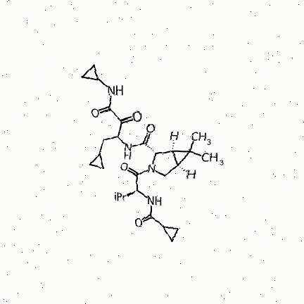 CC(C)[C@H](NC(=O)C1CC1)C(=O)N1C[C@H]2[C@@H]([C@H]1C(=O)NC(CC1CC1)C(=O)C(=O)NC1CC1)C2(C)C